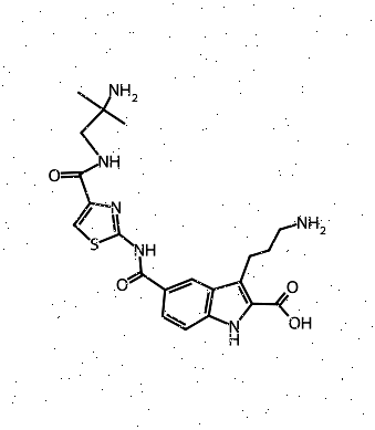 CC(C)(N)CNC(=O)c1csc(NC(=O)c2ccc3[nH]c(C(=O)O)c(CCCN)c3c2)n1